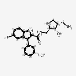 Cl.NC[C@H]1CN[C@H](CNC(=O)c2[nH]c3ccc(F)cc3c2-c2ccccc2)[C@H]1O